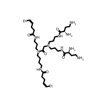 CC/C=C\CCC(=O)NCCCCN(CCCNC(=O)CC/C=C\CC)C(=O)CN(CCCNC(=O)[C@@H](N)CCN)CCCNC(=O)[C@@H](N)CCN